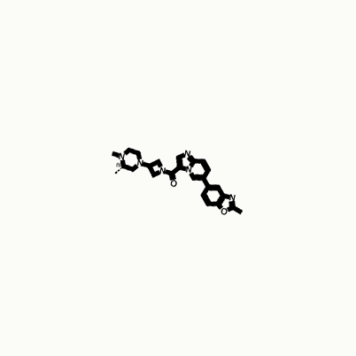 Cc1nc2cc(-c3ccc4ncc(C(=O)N5CC(N6CCN(C)[C@@H](C)C6)C5)n4c3)ccc2o1